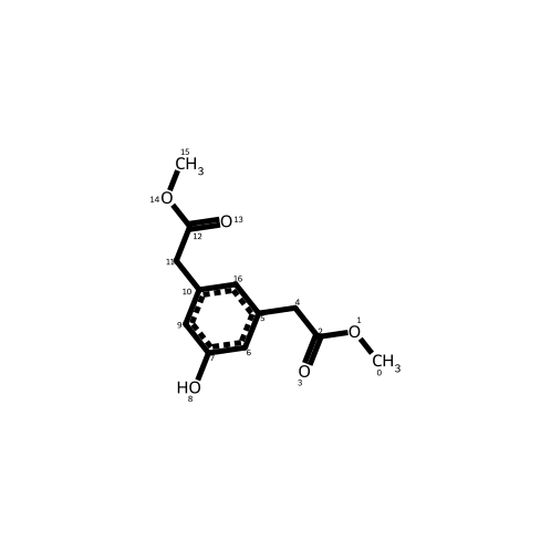 COC(=O)Cc1cc(O)cc(CC(=O)OC)c1